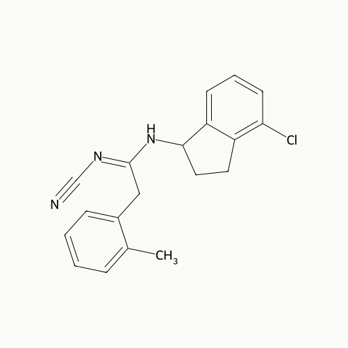 Cc1ccccc1C/C(=N\C#N)NC1CCc2c(Cl)cccc21